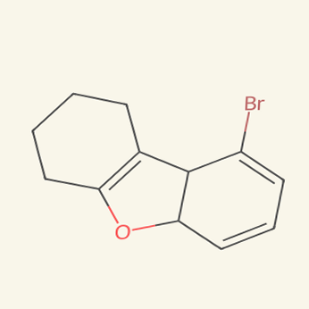 BrC1=CC=CC2OC3=C(CCCC3)C12